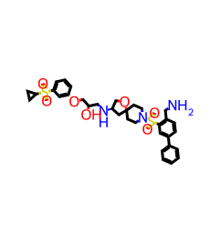 NCc1ccc(-c2ccccc2)cc1S(=O)(=O)N1CCC2(CC1)C[C@@H](NCC(O)COc1cccc(S(=O)(=O)C3CC3)c1)CO2